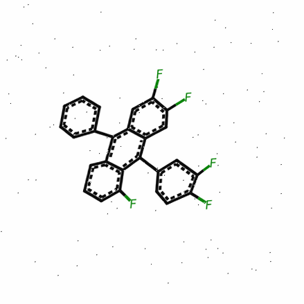 Fc1ccc(-c2c3cc(F)c(F)cc3c(-c3ccccc3)c3cccc(F)c23)cc1F